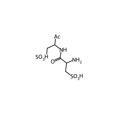 CC(=O)C(CS(=O)(=O)O)NC(=O)C(N)CS(=O)(=O)O